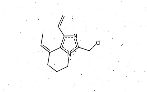 C=Cc1nc(CCl)n2c1/C(=C\C)CCC2